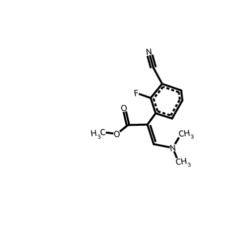 COC(=O)/C(=C/N(C)C)c1cccc(C#N)c1F